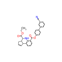 CCOC(=O)C1Nc2c(C(=O)Oc3ccc(-c4cccc(C#N)c4)cc3)cccc2C2C=CCC12